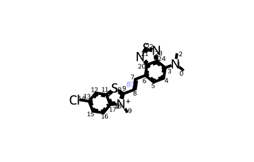 CN(C)c1ccc(/C=C/c2sc3cc(Cl)ccc3[n+]2C)c2nsnc12